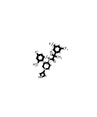 Cc1cc(F)ccc1[C@H]1CN(C2CNC2)CC[C@@H]1N(C)C(=O)C(C)(C)c1cc(C(F)(F)F)cc(C(F)(F)F)c1